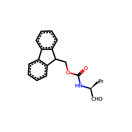 CC(C)[C@@H]([C]=O)NC(=O)OCC1c2ccccc2-c2ccccc21